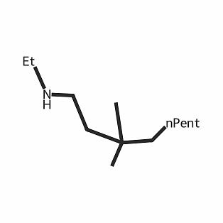 CCCCCCC(C)(C)CCNCC